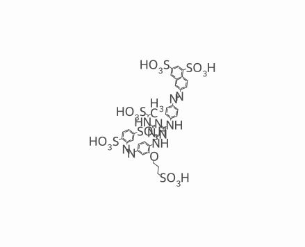 CC(Nc1nc(Nc2ccc(N=Nc3ccc4c(S(=O)(=O)O)cc(S(=O)(=O)O)cc4c3)cc2)nc(Nc2ccc(/N=N\c3cc(S(=O)(=O)O)ccc3S(=O)(=O)O)cc2OCCCS(=O)(=O)O)n1)S(=O)(=O)O